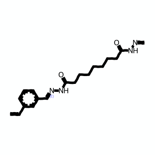 C=Cc1cccc(/C=N/NC(=O)CCCCCCCC(=O)NN=C)c1